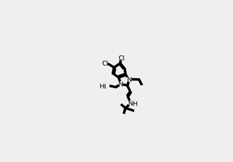 CCN1c2cc(Cl)c(Cl)cc2N(CC)C1C=CNC(C)(C)C.I